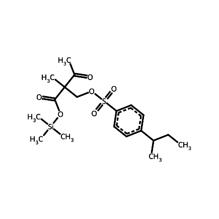 CCC(C)c1ccc(S(=O)(=O)OCC(C)(C(C)=O)C(=O)O[Si](C)(C)C)cc1